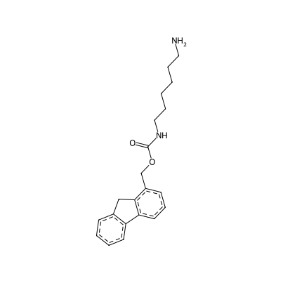 NCCCCCCNC(=O)OCc1cccc2c1Cc1ccccc1-2